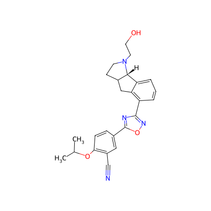 CC(C)Oc1ccc(-c2nc(-c3cccc4c3CC3CCN(CCO)[C@H]43)no2)cc1C#N